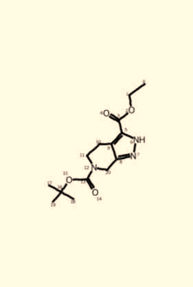 CCOC(=O)c1[nH]nc2c1CCN(C(=O)OC(C)(C)C)C2